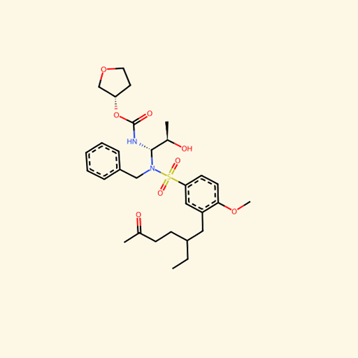 CCC(CCC(C)=O)Cc1cc(S(=O)(=O)N(Cc2ccccc2)[C@H](NC(=O)O[C@H]2CCOC2)[C@@H](C)O)ccc1OC